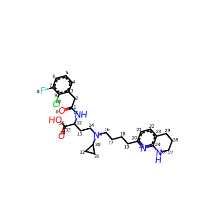 O=C(Cc1cccc(F)c1Cl)NC(CCN(CCCCc1ccc2c(n1)NCCC2)C1CC1)C(=O)O